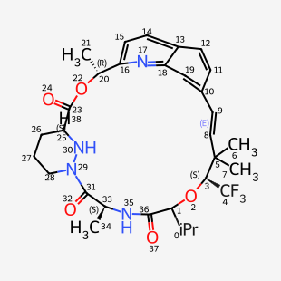 CC(C)C1O[C@H](C(F)(F)F)C(C)(C)/C=C/c2ccc3ccc(nc3c2)[C@@H](C)OC(=O)[C@@H]2CCCN(N2)C(=O)[C@H](C)NC1=O